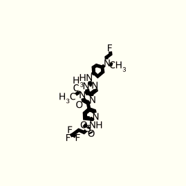 CC(C)n1c(=O)c(-c2ccc(NS(=O)(=O)CCC(F)(F)F)nc2)nc2cnc(NC3CCC(N(C)CCF)CC3)nc21